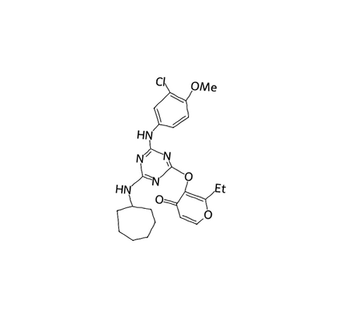 CCc1occc(=O)c1Oc1nc(Nc2ccc(OC)c(Cl)c2)nc(NC2CCCCCC2)n1